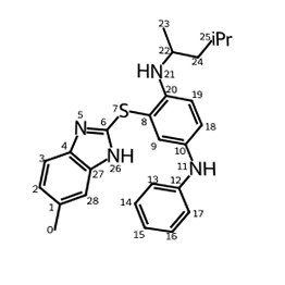 Cc1ccc2nc(Sc3cc(Nc4ccccc4)ccc3NC(C)CC(C)C)[nH]c2c1